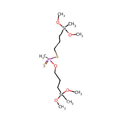 CO[Si](C)(CCCOP(C)(=S)SCCC[Si](C)(OC)OC)OC